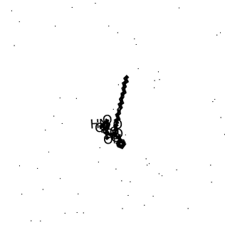 CCCCCCCCCCCCCCCCCCOCCOP(=O)(CO[C@H](CO)Cn1ccc(=O)[nH]c1=O)OCc1ccccc1